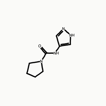 O=C(Nc1cn[nH]c1)N1CCCC1